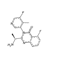 Cc1c(F)cncc1-n1c([C@H](C)N)nc2cccc(F)c2c1=O